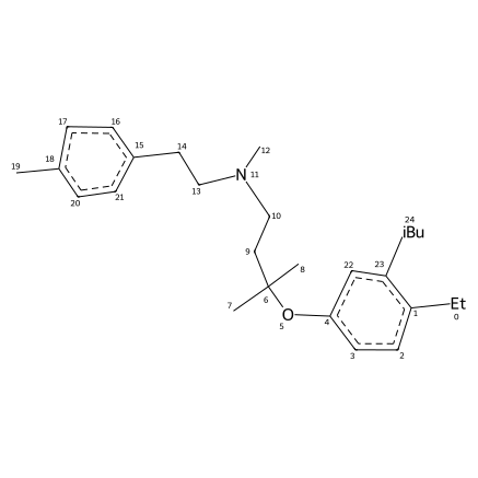 CCc1ccc(OC(C)(C)CCN(C)CCc2ccc(C)cc2)cc1C(C)CC